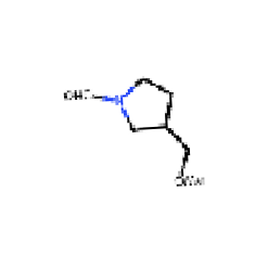 COCC1CCN(C=O)C1